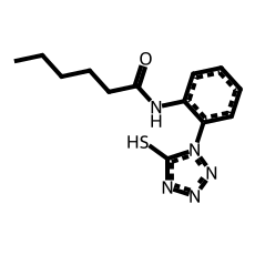 CCCCCC(=O)Nc1ccccc1-n1nnnc1S